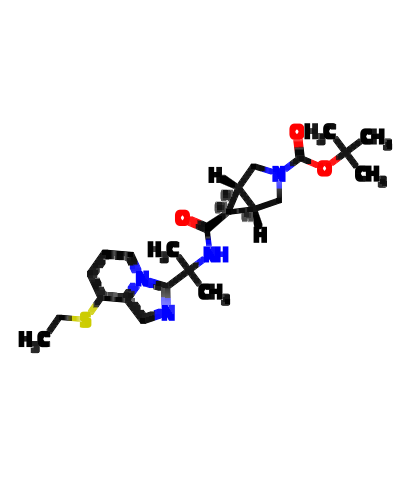 CCSc1cccn2c(C(C)(C)NC(=O)[C@H]3[C@@H]4CN(C(=O)OC(C)(C)C)C[C@@H]43)ncc12